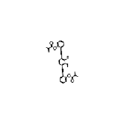 C=C(C)C(=O)Oc1ccccc1C#Cc1ccc(C#Cc2ccccc2OC(=O)C(=C)C)c(F)c1F